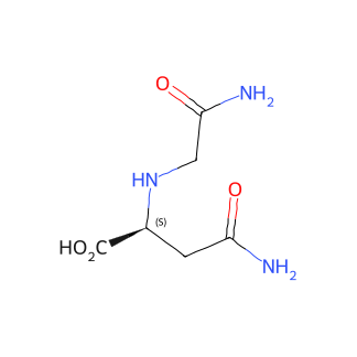 NC(=O)CN[C@@H](CC(N)=O)C(=O)O